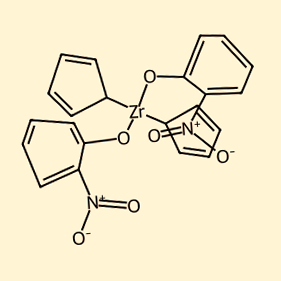 O=[N+]([O-])c1ccccc1[O][Zr]([O]c1ccccc1[N+](=O)[O-])([CH]1C=CC=C1)[CH]1C=CC=C1